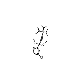 COC(C#C[Si](C(C)C)(C(C)C)C(C)C)(OC)c1cc(Cl)ccn1